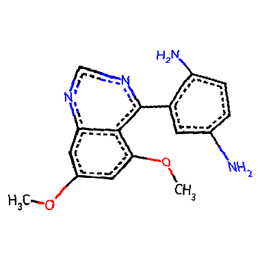 COc1cc(OC)c2c(-c3cc(N)ccc3N)ncnc2c1